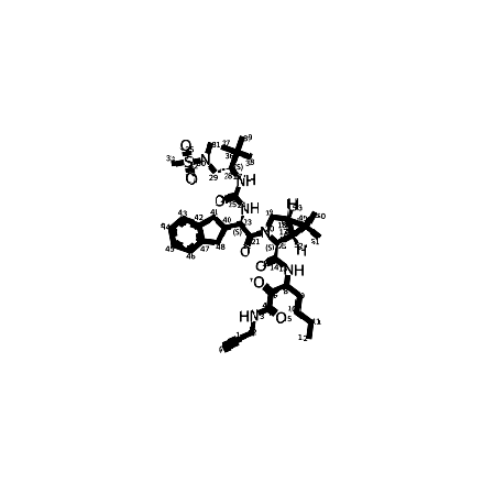 C#CCNC(=O)C(=O)C(CCCC)NC(=O)[C@@H]1[C@@H]2[C@H](CN1C(=O)[C@@H](NC(=O)N[C@H](CN(C)S(C)(=O)=O)C(C)(C)C)C1Cc3ccccc3C1)C2(C)C